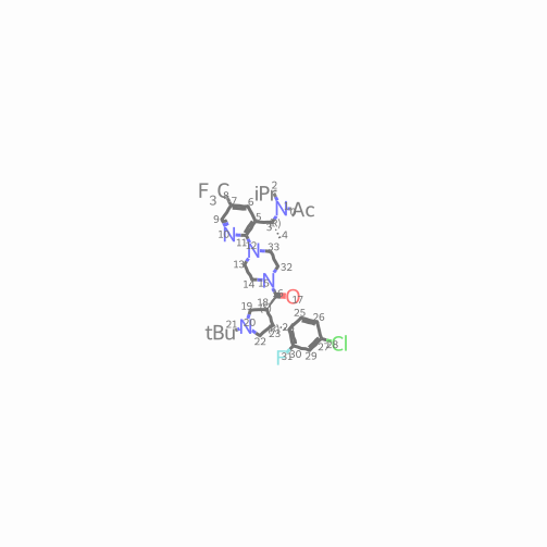 CC(=O)N(C(C)C)[C@H](C)c1cc(C(F)(F)F)cnc1N1CCN(C(=O)[C@@H]2CN(C(C)(C)C)C[C@H]2c2ccc(Cl)cc2F)CC1